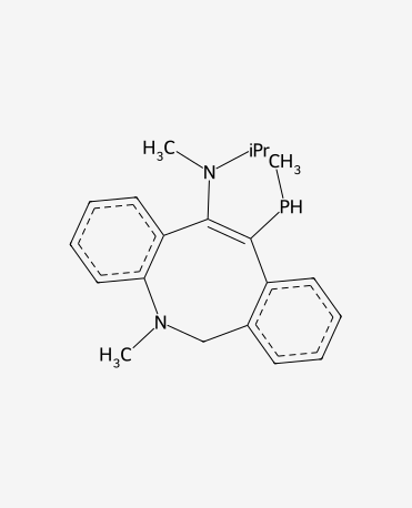 CP/C1=C(\N(C)C(C)C)c2ccccc2N(C)Cc2ccccc21